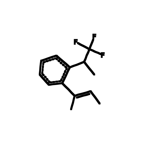 CC=C(C)c1ccccc1C(C)C(F)(F)F